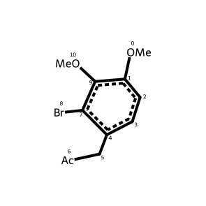 COc1ccc(CC(C)=O)c(Br)c1OC